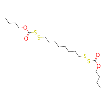 CCCCOC(=O)SSCCCCCCCCSSC(=O)OCCCC